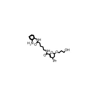 CC(C)C1C=C(C(=O)NCCCCC(=O)Nc2ccccc2N)OC(OCCCO)C1